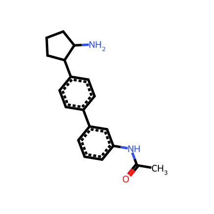 CC(=O)Nc1cccc(-c2ccc(C3CCCC3N)cc2)c1